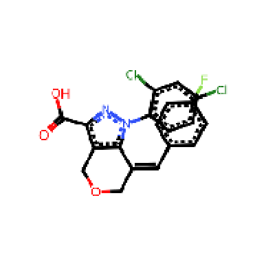 O=C(O)c1nn(-c2ccc(Cl)cc2Cl)c2c1COC/C2=C/c1ccc(F)cc1